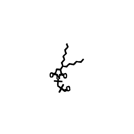 CCCCCCCC(CCCCCC)C1CC(=O)N(C(C)(C)CC(C)(C)C=O)C1=O